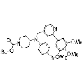 COc1cc(-c2cc(CN(c3ccc(Br)cc3)C3CCN(C(=O)OC(C)(C)C)CC3)ccn2)cc(OC)c1OC